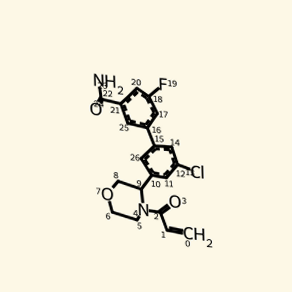 C=CC(=O)N1CCOCC1c1cc(Cl)cc(-c2cc(F)cc(C(N)=O)c2)c1